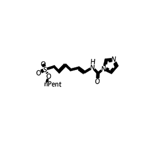 CCCCCOS(=O)(=O)CC=CCC=CNC(=O)n1ccnc1